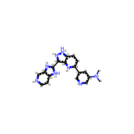 CN(C)c1cncc(-c2ccc3[nH]nc(-c4nc5cnccc5[nH]4)c3n2)c1